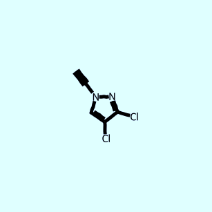 C#Cn1cc(Cl)c(Cl)n1